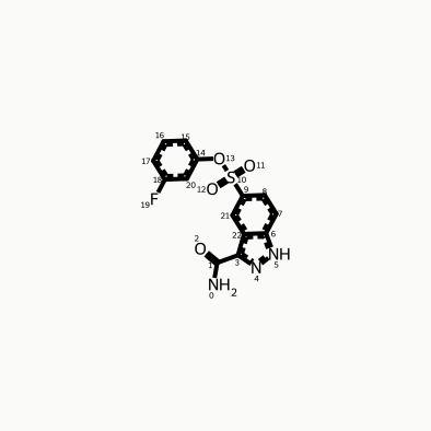 NC(=O)c1n[nH]c2ccc(S(=O)(=O)Oc3cccc(F)c3)cc12